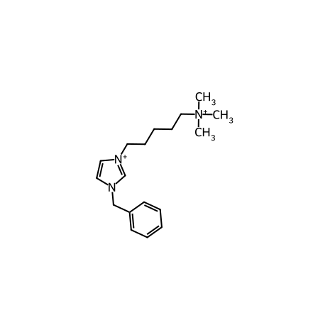 C[N+](C)(C)CCCCC[n+]1ccn(Cc2ccccc2)c1